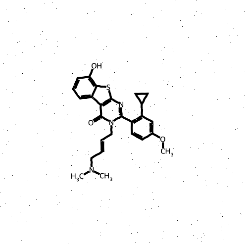 COc1ccc(-c2nc3sc4c(O)cccc4c3c(=O)n2C/C=C/CN(C)C)c(C2CC2)c1